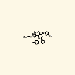 COCCn1cc(-c2nc(N3CCC[C@H]3c3ccc(C)cc3)nc(Nc3ncc(C#N)s3)c2OC)cn1